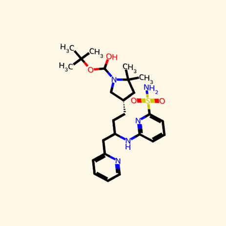 CC(C)(C)OC(O)N1C[C@@H](CCC(Cc2ccccn2)Nc2cccc(S(N)(=O)=O)n2)CC1(C)C